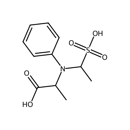 CC(C(=O)O)N(c1ccccc1)C(C)S(=O)(=O)O